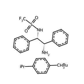 Cc1ccc(C(C)C)cc1.N[C@@H](c1ccccc1)[C@@H](NS(=O)(=O)C(F)(F)F)c1ccccc1.[Ru]